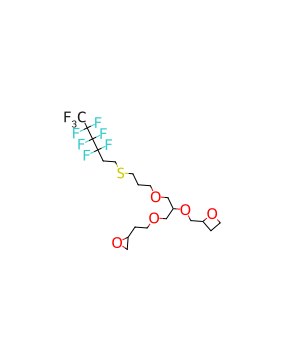 FC(F)(F)C(F)(F)C(F)(F)C(F)(F)CCSCCCOCC(COCCC1CO1)OCC1CCO1